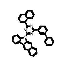 c1ccc(-c2cccc(-c3nc(-c4cccc5ccccc45)nc(-n4c5ccccc5c5cc6ccccc6cc54)n3)c2)cc1